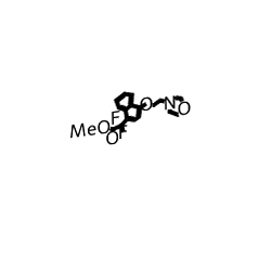 COC(=O)C(F)(F)c1ccc(OCCN2CCOCC2)c2ccccc12